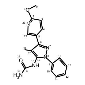 COc1ccc(-c2nn(-c3ccccc3)c(NC(N)=O)c2C)cn1